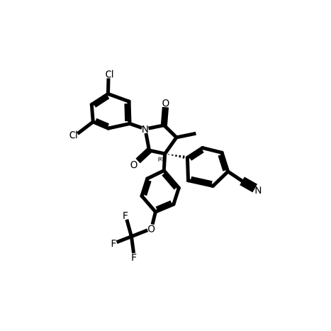 CC1C(=O)N(c2cc(Cl)cc(Cl)c2)C(=O)[C@]1(c1ccc(C#N)cc1)c1ccc(OC(F)(F)F)cc1